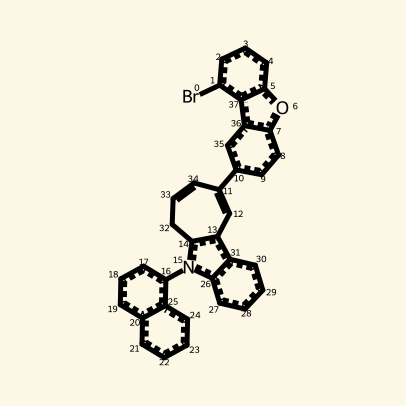 Brc1cccc2oc3ccc(C4=Cc5c(n(-c6cccc7ccccc67)c6ccccc56)CC=C4)cc3c12